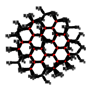 BB(B)B(B(B)B)B(B(B(B)B)B(B)B)B(B(B(B(B)B)B(B)B)B(B(B)B)B(B)B)B(B(B(B(B)B)B(B)B)B(B(B)B)B(B)B)B(B(B(B(B(B)B)B(B)B)B(B(B)B)B(B)B)B(B(B(B)B)B(B)B)B(B(B)B)B(B)B)B(B(B(B(B(B)B)B(B)B)B(B(B)B)B(B)B)B(B(B(B)B)B(B)B)B(B(B)B)B(B)B)B(B(B(B(B)B)B(B)B)B(B(B)B)B(B)B)B(B(B(B)B)B(B)B)B(B(B)B)B(B)B